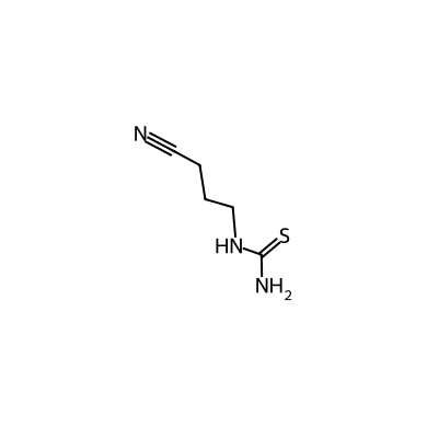 N#CCCCNC(N)=S